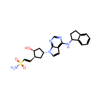 NS(=O)(=O)/C=C/[C@@H]1C[C@@H](n2ccc3c(N[C@H]4CCc5ccccc54)ncnc32)C[C@@H]1O